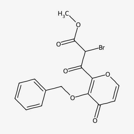 COC(=O)C(Br)C(=O)c1occc(=O)c1OCc1ccccc1